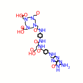 Nc1nc2ncc(CNc3ccc(C(=O)NC(CCC(=O)O)C(=O)Nc4ccc(NC(=O)CN5CCN(CC=O)CCN(CC(=O)O)CCN(CC(=O)O)CC5)cc4)cc3)nc2c(=O)[nH]1